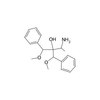 COC(c1ccccc1)C(O)(C(C)N)C(OC)c1ccccc1